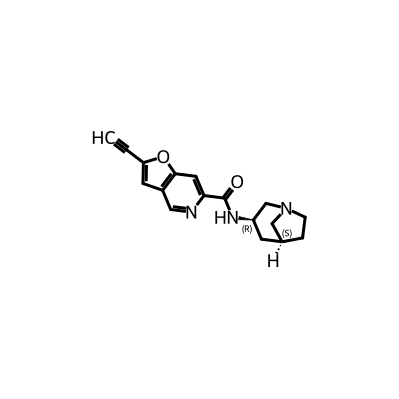 C#Cc1cc2cnc(C(=O)N[C@@H]3C[C@@H]4CCN(C4)C3)cc2o1